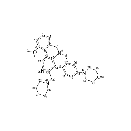 COc1cccc(CN(Cc2cccc(N3CCOCC3)c2)c2ccnc(CN3CCCCC3)c2)c1